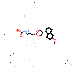 COc1ccc2c(cccc2[C@H]2CO[C@H](CCCNC(=O)O)OC2)c1